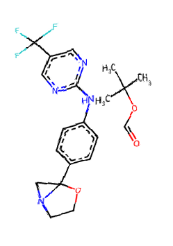 CC(C)(C)OC=O.FC(F)(F)c1cnc(Nc2ccc(C34CN3CCO4)cc2)nc1